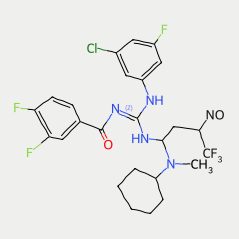 CN(C1CCCCC1)C(CC(N=O)C(F)(F)F)N/C(=N\C(=O)c1ccc(F)c(F)c1)Nc1cc(F)cc(Cl)c1